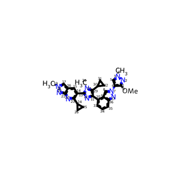 COc1nn(C)cc1-n1cc2c(-c3nc(-c4cc5cn(C)nc5nc4C4CC4)n(C)c3C3CC3)cccc2n1